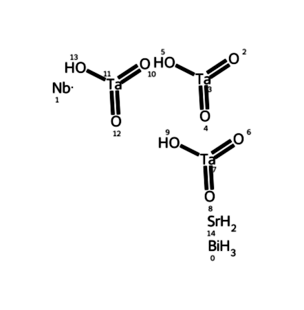 [BiH3].[Nb].[O]=[Ta](=[O])[OH].[O]=[Ta](=[O])[OH].[O]=[Ta](=[O])[OH].[SrH2]